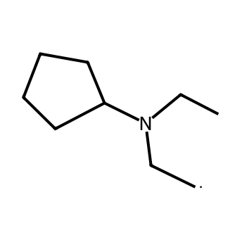 [CH2]CN(CC)C1CCCC1